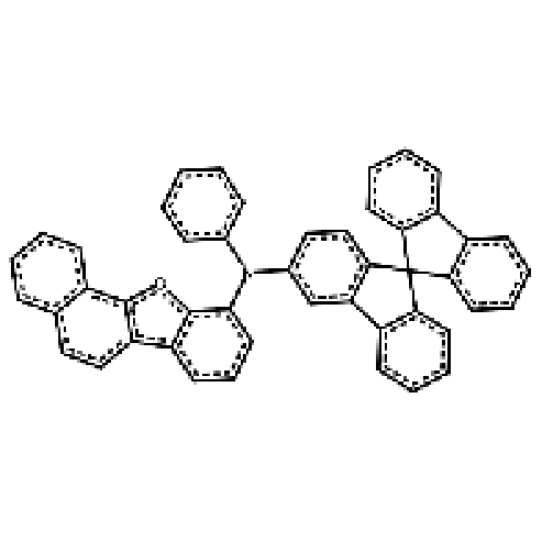 c1ccc(N(c2ccc3c(c2)-c2ccccc2C32c3ccccc3-c3ccccc32)c2cccc3c2oc2c4ccccc4ccc32)cc1